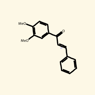 COc1ccc(C(=O)/C=C/c2ccccc2)cc1OC